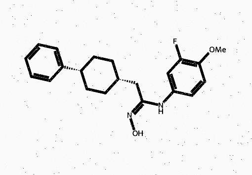 COc1ccc(N/C(C[C@H]2CC[C@@H](c3ccccc3)CC2)=N\O)cc1F